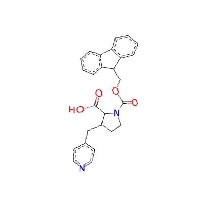 O=C(O)C1C(Cc2ccncc2)CCN1C(=O)OCC1c2ccccc2-c2ccccc21